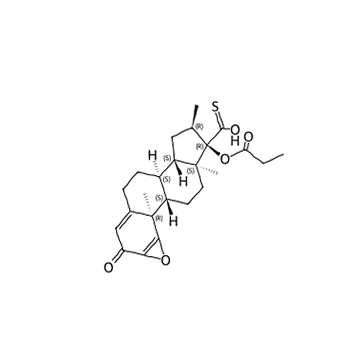 CCC(=O)O[C@]1(C(O)=S)[C@H](C)C[C@H]2[C@@H]3CCC4=CC(=O)C5=C(O5)[C@]4(C)[C@H]3CC[C@@]21C